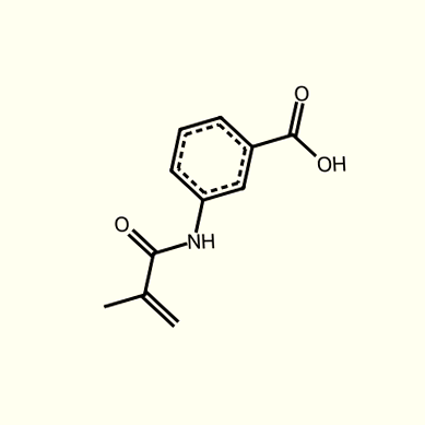 C=C(C)C(=O)Nc1cccc(C(=O)O)c1